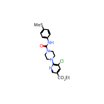 CCOC(=O)c1cnc(N2CCN(C(=O)Nc3ccc(SC)cc3)CC2)c(Cl)c1